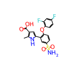 Cc1[nH]c(-c2cc(S(N)(=O)=O)ccc2Oc2ccc(F)cc2F)cc1C(=O)O